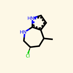 CC1C[C@@H](Cl)CNc2[nH]ccc21